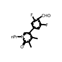 CCCn1cc(-c2cc(F)c(C=O)c(F)c2)c(C)c(C)c1=O